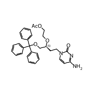 CC(=O)OCCO[C@@H](CCn1ccc(N)nc1=O)COC(c1ccccc1)(c1ccccc1)c1ccccc1